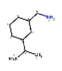 CNC(C)C1CCCC(CN)C1